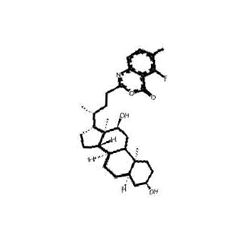 Cc1ccc2nc(CC[C@@H](C)[C@H]3CC[C@H]4[C@@H]5CC[C@@H]6C[C@H](O)CC[C@]6(C)C5C[C@H](O)[C@]34C)oc(=O)c2c1F